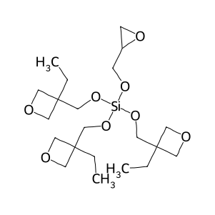 CCC1(CO[Si](OCC2CO2)(OCC2(CC)COC2)OCC2(CC)COC2)COC1